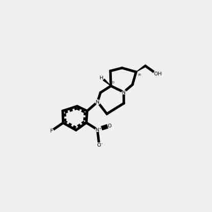 O=[N+]([O-])c1cc(F)ccc1N1CCN2C[C@H](CO)CC[C@H]2C1